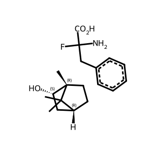 CC1(C)[C@@H]2CC[C@@]1(C)[C@@H](O)C2.NC(F)(Cc1ccccc1)C(=O)O